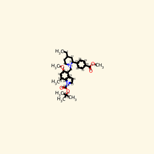 CCC1CCN(Cc2c(OC)cc(C)c3c2ccn3C(=O)OC(C)(C)C)C(c2ccc(C(=O)OC)cc2)C1